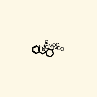 CC1(N=C=O)C(N=C=O)CCCC1(Cc1ccccc1)N=C=O